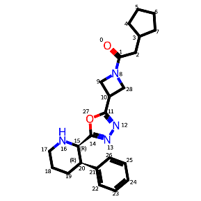 O=C(CC1CCCC1)N1CC(c2nnc([C@@H]3NCCC[C@@H]3c3ccccc3)o2)C1